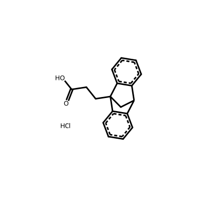 Cl.O=C(O)CCC12CC(c3ccccc31)c1ccccc12